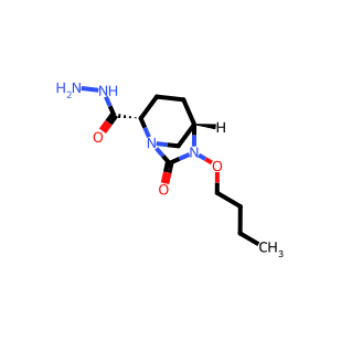 CCCCON1C(=O)N2C[C@@H]1CC[C@H]2C(=O)NN